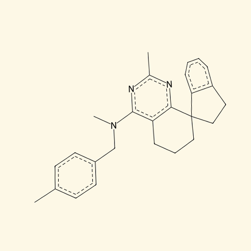 Cc1ccc(CN(C)c2nc(C)nc3c2CCCC32CCc3ccccc32)cc1